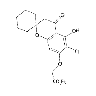 CCOC(=O)COc1cc2c(c(O)c1Cl)C(=O)CC1(CCCCC1)O2